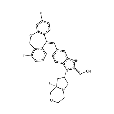 N#C/N=c1\[nH]c2cc(/C=C3/c4ccc(F)cc4OCc4c(F)cccc43)ccc2n1[C@H]1C[C@@H]2COCCN2C1